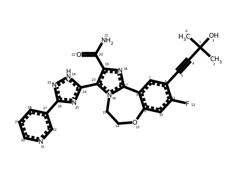 CC(C)(O)C#Cc1cc2c(cc1F)OCCn1c-2nc(C(N)=O)c1-c1nc(-c2cccnc2)n[nH]1